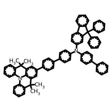 CC1(C)c2ccccc2N2c3ccccc3C(C)(C)c3cc(-c4ccc(-c5ccc(N(c6ccc(-c7ccccc7)cc6)c6ccc7c(c6)C(c6ccccc6)(c6ccccc6)c6ccccc6-7)cc5)cc4)cc1c32